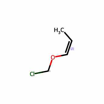 C/C=C\O[CH]Cl